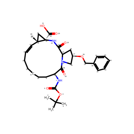 CC(C)(C)OC(=O)N[C@H]1CCCCC/C=C\[C@@H]2C[C@@]2(C(=O)O)NC(=O)C2C[C@@H](OCc3ccccc3)CN2C1=O